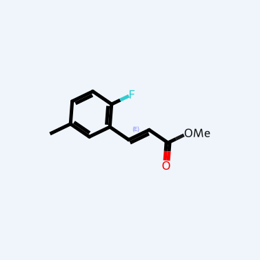 COC(=O)/C=C/c1cc(C)ccc1F